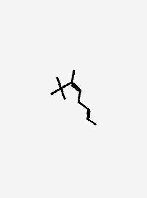 CC=CCC=C(C)C(C)(C)C